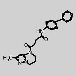 Cc1cc2n(n1)CCCN2C(=O)CCC(=O)Nc1ccc(-c2ccccc2)cc1